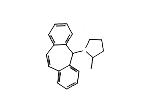 CC1CC[C@@H](C)P1C1c2ccccc2C=Cc2ccccc21